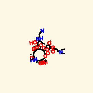 CC[C@H]1OC(=O)[C@H](C)[C@@H](O[C@H]2C[C@@](C)(OC)[C@@H](OC(=O)CCN(CC)CC)[C@H](C)O2)[C@H](C)[C@@H](O[C@@H]2O[C@H](C)C[C@H](NCCC#N)[C@H]2O)[C@H](OC)C[C@@H](C)C(=O)N[C@H](C)[C@H](O)[C@]1(C)O